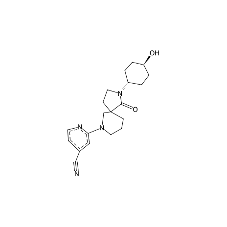 N#Cc1ccnc(N2CCCC3(CCN([C@H]4CC[C@H](O)CC4)C3=O)C2)c1